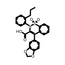 CCCc1ccccc1N1C(C(=O)O)=C(c2ccc3c(c2)OCO3)c2ccccc2S1(=O)=O